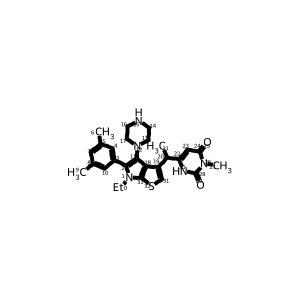 CCn1c(-c2cc(C)cc(C)c2)c(N2CCNCC2)c2c(C(C)c3cc(=O)n(C)c(=O)[nH]3)csc21